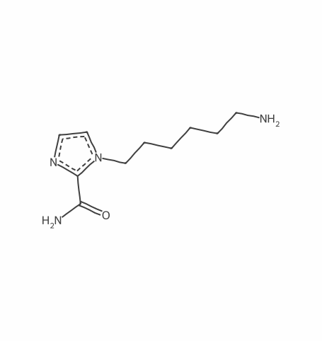 NCCCCCCn1ccnc1C(N)=O